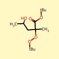 CC(O)CC(C)(OOC(C)(C)C)C(=O)OC(C)(C)C